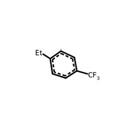 CCc1[c]cc(C(F)(F)F)cc1